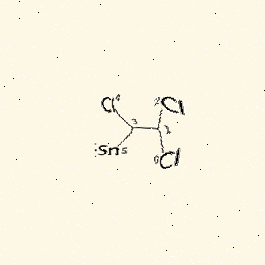 ClC(Cl)[CH](Cl)[Sn]